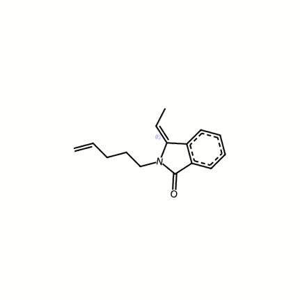 C=CCCCN1C(=O)c2ccccc2/C1=C\C